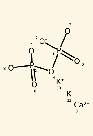 O=P([O-])([O-])OP(=O)([O-])[O-].[Ca+2].[K+].[K+]